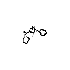 C=C(c1cnn(-c2ccccc2)c1C)N1CCCC1